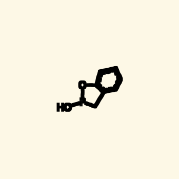 OP1Cc2ccccc2O1